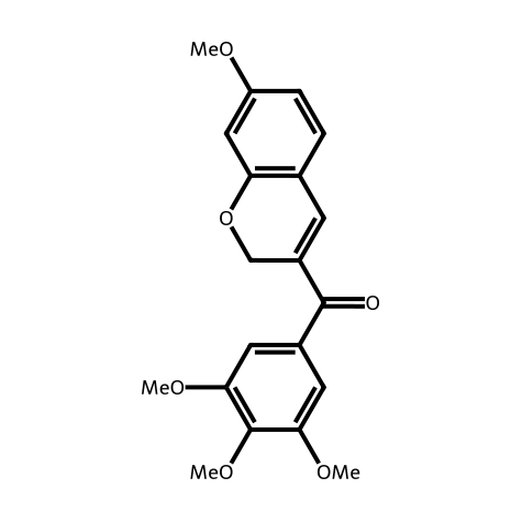 COc1ccc2c(c1)OCC(C(=O)c1cc(OC)c(OC)c(OC)c1)=C2